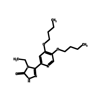 CCCCOc1cnc(-c2n[nH]c(=O)n2CC)cc1OCCCC